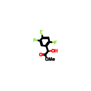 COC(=O)[C@H](O)c1cc(F)c(F)cc1F